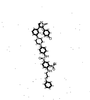 Cn1ncc(-c2cccc(N3CCN(c4ccc(N[S+]([O-])c5ccc(NCCSc6ccccc6)c([N+](=O)[O-])c5)cc4)CC3)c2)c1-c1ccc(Cl)cc1